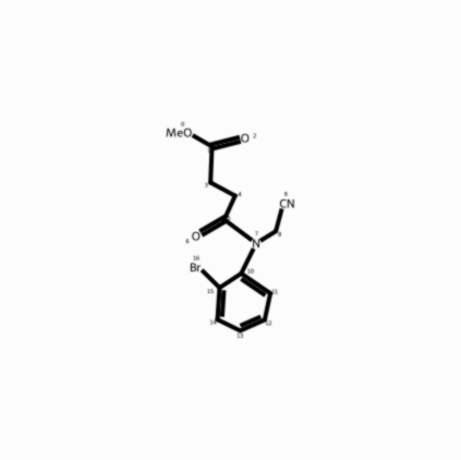 COC(=O)CCC(=O)N(CC#N)c1ccccc1Br